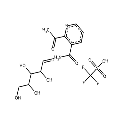 CC(=O)c1ncccc1C(N)=O.O=CC(O)C(O)C(O)CO.O=S(=O)(O)C(F)(F)F